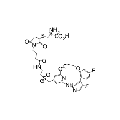 N[C@@H](CSC1CC(=O)N(CCCC(=O)NCCS(=O)(=O)Cc2cc3nc(c2)OCCCOc2cc(F)ccc2-c2cc(ncc2F)N3)C1=O)C(=O)O